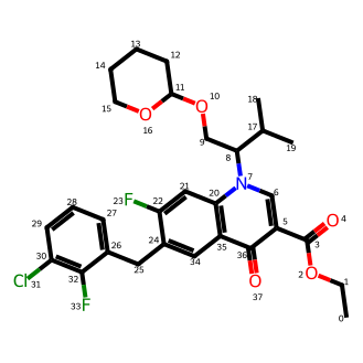 CCOC(=O)c1cn(C(COC2CCCCO2)C(C)C)c2cc(F)c(Cc3cccc(Cl)c3F)cc2c1=O